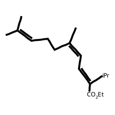 CCOC(=O)C(=CC=C(C)CCC=C(C)C)C(C)C